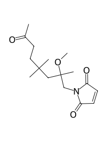 COC(C)(CN1C(=O)C=CC1=O)CC(C)(C)CCC(C)=O